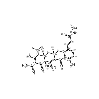 CN(C)[C@@H]1C(O)=C(C(N)=O)C(=O)[C@@]2(N=O)C(N=O)=C3C(=O)c4c(O)ccc(/C=C/C(=O)NC(C)(C)C)c4C[C@H]3C[C@@H]12